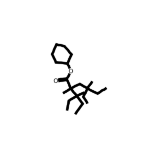 CCC(C)(CC)CC(C)(C(=O)OC1CCCCC1)C(C)(CC)CC